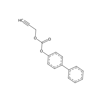 C#CCOC(=O)Oc1ccc(-c2ccccc2)cc1